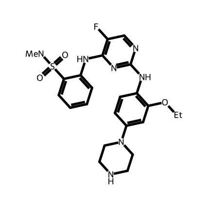 CCOc1cc(N2CCNCC2)ccc1Nc1ncc(F)c(Nc2ccccc2S(=O)(=O)NC)n1